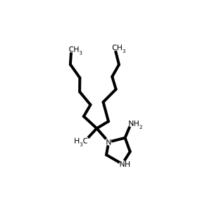 CCCCCCC(C)(CCCCCC)N1CNCC1N